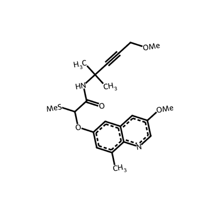 COCC#CC(C)(C)NC(=O)C(Oc1cc(C)c2ncc(OC)cc2c1)SC